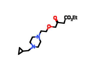 CCOC(=O)CC(=O)COCCN1CCN(CC2CC2)CC1